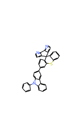 c1ccc(-n2c3ccccc3c3cc(-c4ccc5c(c4)Sc4ccccc4C54c5cccnc5-c5ncccc54)ccc32)cc1